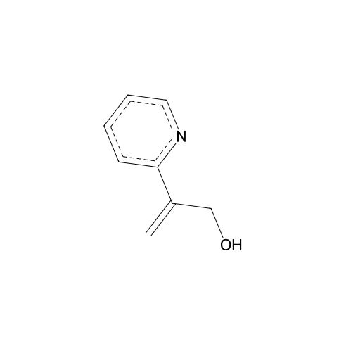 C=C(CO)c1ccccn1